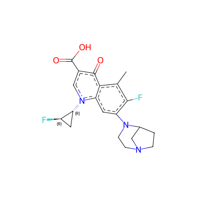 Cc1c(F)c(N2CCN3CCC2C3)cc2c1c(=O)c(C(=O)O)cn2[C@@H]1C[C@H]1F